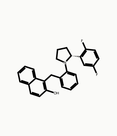 Oc1ccc2ccccc2c1Cc1ccccc1N1CCC[C@@H]1c1cc(F)ccc1F